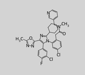 Cc1nnc(-c2nc(C3CCCCC3)n(-c3cc(Cl)ccc3CC(=O)N(C)Cc3cccnc3)c2-c2ccc(F)c(Cl)c2)o1